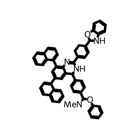 CNC(Oc1ccccc1)c1ccc(C2NC(C3=CC=C(C4Nc5ccccc5O4)CC3)=Nc3c(-c4cccc5ccccc45)cc(-c4cccc5ccccc45)cc32)cc1